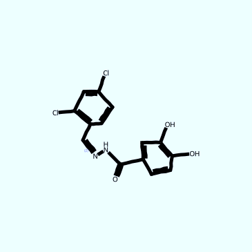 O=C(N/N=C\c1ccc(Cl)cc1Cl)c1ccc(O)c(O)c1